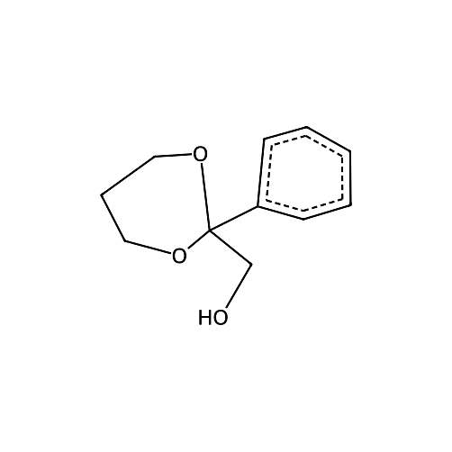 OCC1(c2ccccc2)OCCCO1